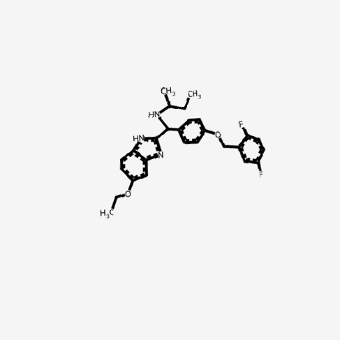 CCOc1ccc2[nH]c(C(NC(C)CC)c3ccc(OCc4cc(F)ccc4F)cc3)nc2c1